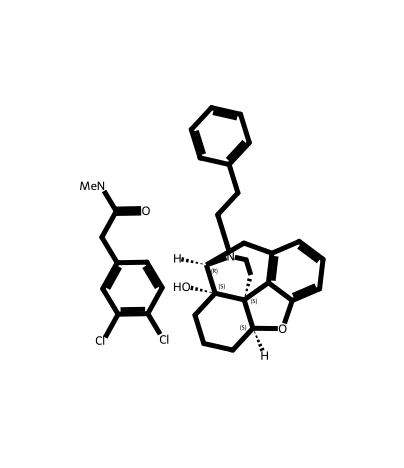 CNC(=O)Cc1ccc(Cl)c(Cl)c1.O[C@@]12CCC[C@@H]3Oc4cccc5c4[C@@]31CCN(CCc1ccccc1)[C@@H]2C5